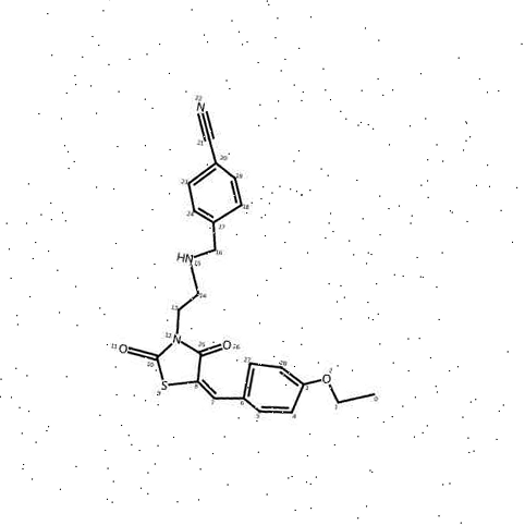 CCOc1ccc(/C=C2/SC(=O)N(CCNCc3ccc(C#N)cc3)C2=O)cc1